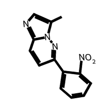 Cc1cnc2ccc(-c3ccccc3[N+](=O)[O-])nn12